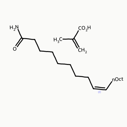 C=C(C)C(=O)O.CCCCCCCC/C=C\CCCCCCCC(N)=O